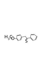 COc1ccc(CC(=S)c2ccccc2)cc1